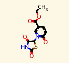 CCOC(=O)c1ccc(=O)n(C2SC(=O)NC2=O)c1